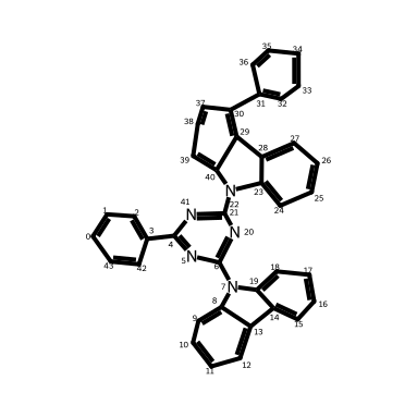 c1ccc(-c2nc(-n3c4ccccc4c4ccccc43)nc(-n3c4ccccc4c4c(-c5ccccc5)cccc43)n2)cc1